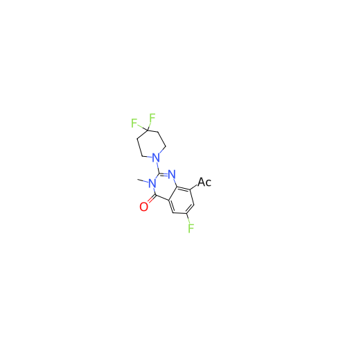 CC(=O)c1cc(F)cc2c(=O)n(C)c(N3CCC(F)(F)CC3)nc12